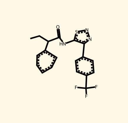 CCC(C(=O)Nc1snnc1-c1ccc(C(F)(F)F)cc1)c1ccccc1